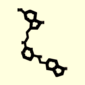 Oc1ccc2[nH]cc(CCNc3nccc(NCc4ccc5[nH]ccc5c4)n3)c2c1